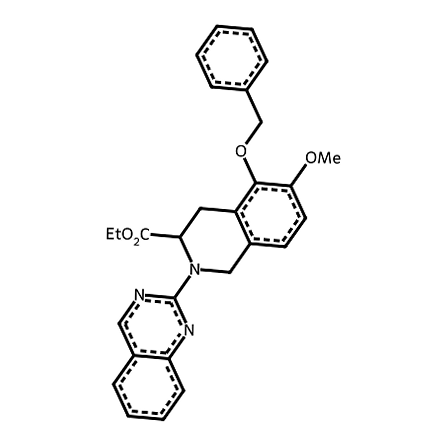 CCOC(=O)C1Cc2c(ccc(OC)c2OCc2ccccc2)CN1c1ncc2ccccc2n1